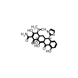 CN(C)C1C(O)=C(C(N)=O)C(=O)[C@@]2(O)C(O)=C3C(=O)c4c(O)cccc4[C@H](c4nccs4)C3CC12